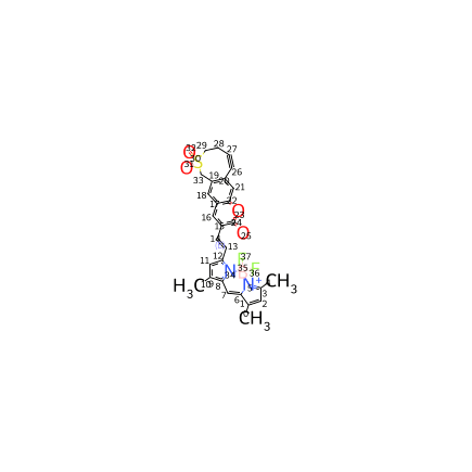 CC1=CC(C)=[N+]2C1=Cc1c(C)cc(/C=C/c3cc4cc5c(cc4oc3=O)C#CCCS(=O)(=O)C5)n1[B-]2(F)F